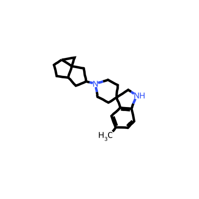 Cc1ccc2c(c1)C1(CCN(C3CC4CCC5CC45C3)CC1)CN2